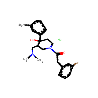 COc1cccc(C2(O)CCN(C(=O)Cc3cccc(Br)c3)CC2CN(C)C)c1.Cl